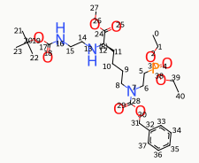 CCOP(=O)(CCN(CCCC[C@@H](NCCNC(=O)OC(C)(C)C)C(=O)OC)C(=O)OCc1ccccc1)OCC